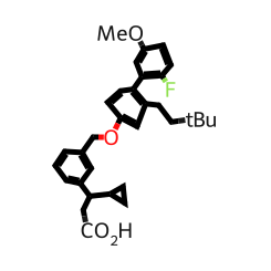 COc1ccc(F)c(-c2ccc(OCc3cccc(C(CC(=O)O)C4CC4)c3)cc2CCC(C)(C)C)c1